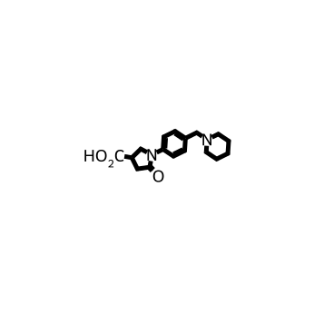 O=C(O)C1CC(=O)N(c2ccc(CN3CCCCC3)cc2)C1